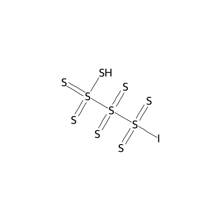 S=S(=S)(S)S(=S)(=S)S(=S)(=S)I